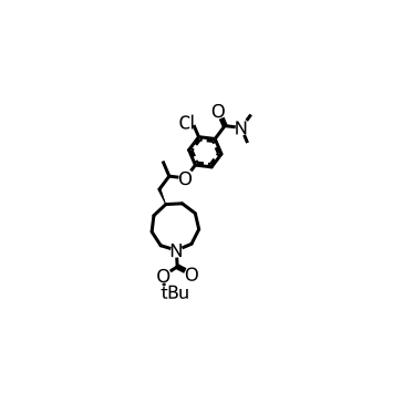 CC(C[C@H]1CCCCN(C(=O)OC(C)(C)C)CCC1)Oc1ccc(C(=O)N(C)C)c(Cl)c1